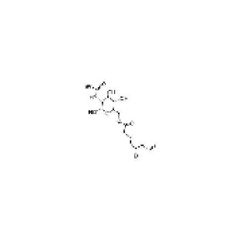 C=CCC(CC)CCCC(=O)OC[C@H]1OC(O)[C@H](NC(=O)CCC)[C@@H](O)[C@@H]1O